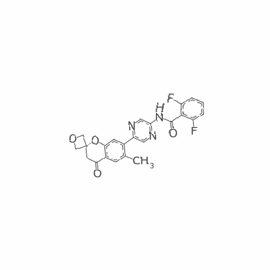 Cc1cc2c(cc1-c1cnc(NC(=O)c3c(F)cccc3F)cn1)OC1(COC1)CC2=O